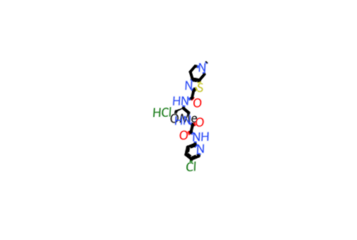 COC[C@H](CNC(=O)C(=O)Nc1ccc(Cl)cn1)NC(=O)c1nc2c(s1)CN(C)CC2.Cl